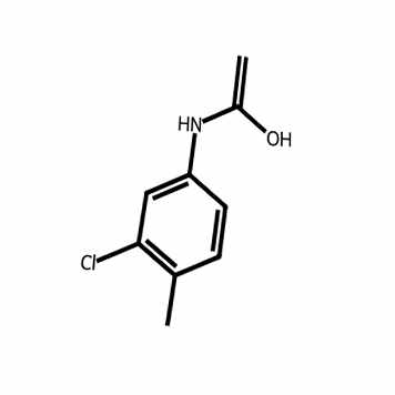 C=C(O)Nc1ccc(C)c(Cl)c1